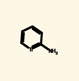 N[C]1=[Tl][CH]=CC=C1